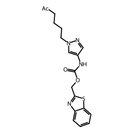 CC(=O)CCCCn1cc(NC(=O)OCc2nc3ccccc3s2)cn1